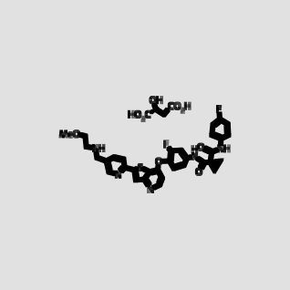 COCCNCc1ccc(-c2cc3nccc(Oc4ccc(NC(=O)C5(C(=O)Nc6ccc(F)cc6)CC5)cc4F)c3s2)nc1.O=C(O)C[C@H](O)C(=O)O